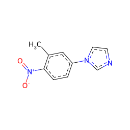 Cc1cc(-n2ccnc2)ccc1[N+](=O)[O-]